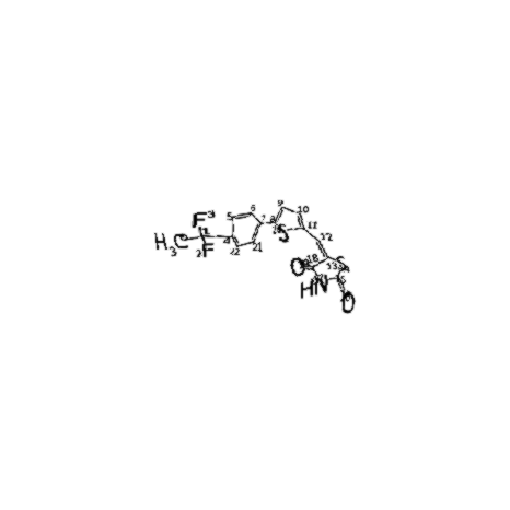 CC(F)(F)c1ccc(-c2ccc(C=C3SC(=O)NC3=O)s2)cc1